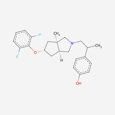 CC(CN1C[C@H]2C[C@H](Oc3c(F)cccc3F)C[C@@]2(C)C1)c1ccc(O)cc1